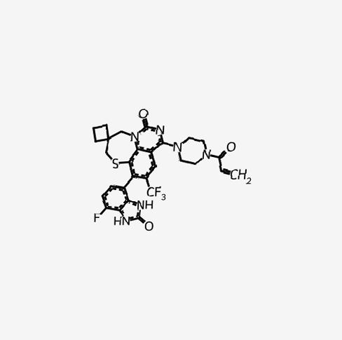 C=CC(=O)N1CCN(c2nc(=O)n3c4c(c(-c5ccc(F)c6[nH]c(=O)[nH]c56)c(C(F)(F)F)cc24)SCC2(CCC2)C3)CC1